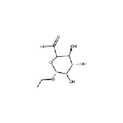 CCO[C@@H]1OC(C(=O)O)[C@@H](O)[C@H](O)C1O